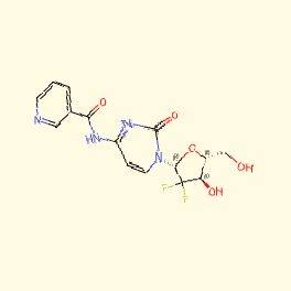 O=C(Nc1ccn([C@@H]2O[C@H](CO)[C@@H](O)C2(F)F)c(=O)n1)c1cccnc1